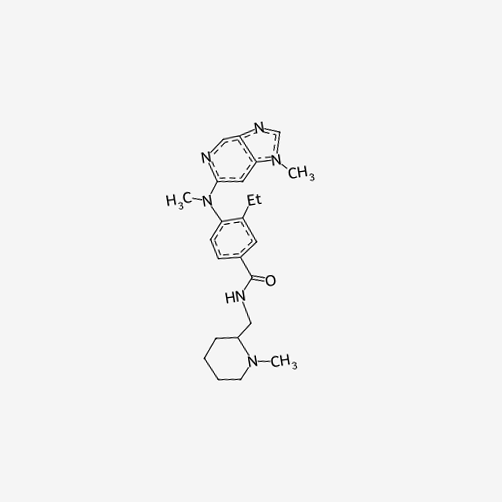 CCc1cc(C(=O)NCC2CCCCN2C)ccc1N(C)c1cc2c(cn1)ncn2C